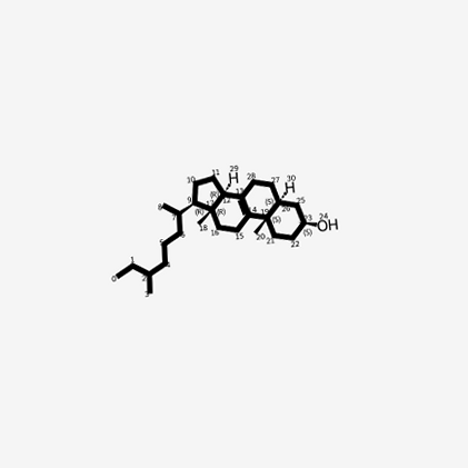 CCC(C)CCCC(C)[C@H]1CC[C@H]2C3=C(CC[C@]12C)[C@@]1(C)CC[C@H](O)C[C@@H]1CC3